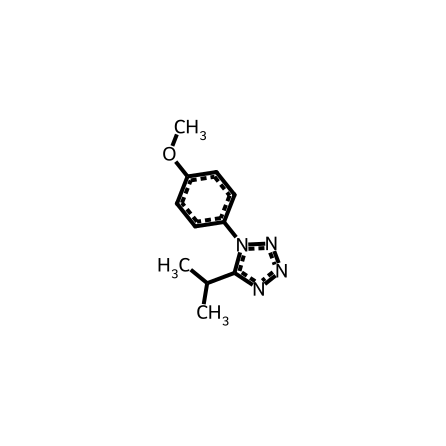 COc1ccc(-n2nnnc2C(C)C)cc1